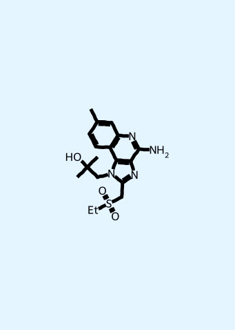 CCS(=O)(=O)Cc1nc2c(N)nc3cc(C)ccc3c2n1CC(C)(C)O